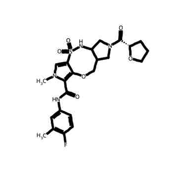 Cc1cc(NC(=O)c2c3c(cn2C)S(=O)(=O)NC2CN(C(=O)[C@@H]4CCCO4)CC2CO3)ccc1F